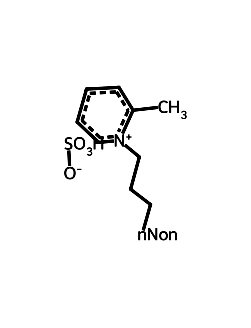 CCCCCCCCCCCC[n+]1ccccc1C.O=S(=O)([O-])O